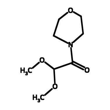 COC(OC)C(=O)N1CCOCC1